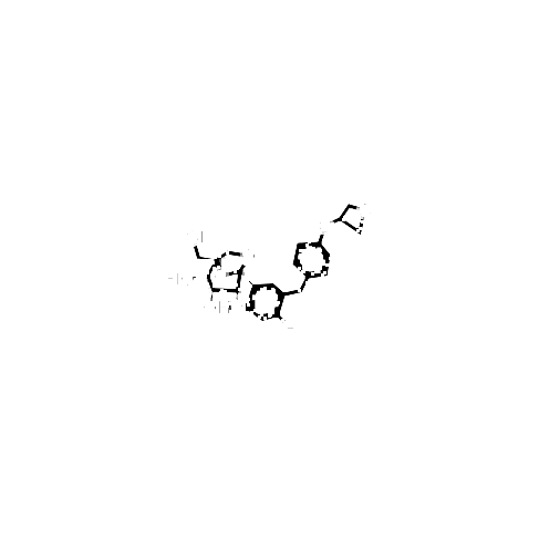 OC[C@@]12CO[C@@](c3ccc(F)c(Cc4ccc(OC5COC5)cc4)c3)(O1)[C@H](O)[C@@H](O)[C@@H]2O